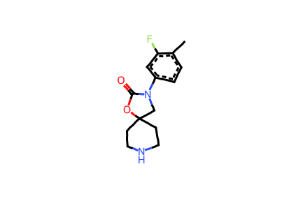 Cc1ccc(N2CC3(CCNCC3)OC2=O)cc1F